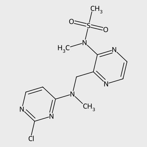 CN(Cc1nccnc1N(C)S(C)(=O)=O)c1ccnc(Cl)n1